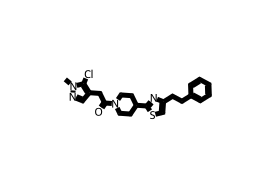 Cn1ncc(CC(=O)N2CCC(c3nc(CCc4ccccc4)cs3)CC2)c1Cl